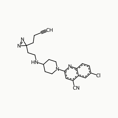 C#CCCC1(CCNC2CCN(c3cc(C#N)c4cc(Cl)ccc4n3)CC2)N=N1